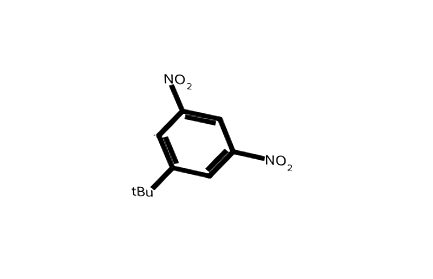 CC(C)(C)c1[c]c([N+](=O)[O-])cc([N+](=O)[O-])c1